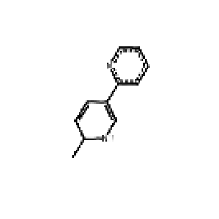 CC1C=CC(c2ccccn2)=CN1